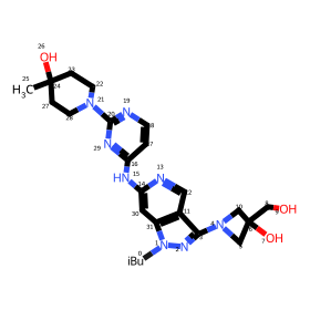 CCC(C)n1nc(N2CC(O)(CO)C2)c2cnc(Nc3ccnc(N4CCC(C)(O)CC4)n3)cc21